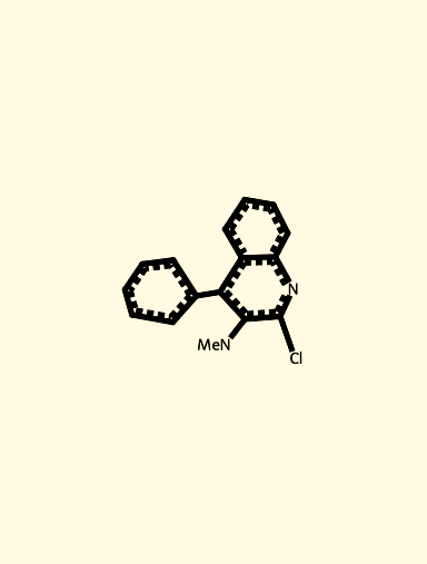 CNc1c(Cl)nc2ccccc2c1-c1ccccc1